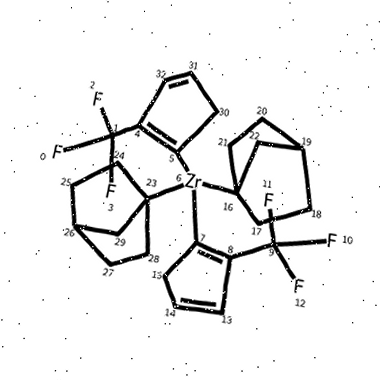 FC(F)(F)C1=[C]([Zr]([C]2=C(C(F)(F)F)C=CC2)([C]23CCC(CC2)C3)[C]23CCC(CC2)C3)CC=C1